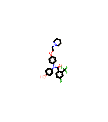 O=C(c1ccc(F)cc1C(F)(F)F)N(c1ccc(O)cc1)c1ccc(OCCN2CCCCC2)cc1